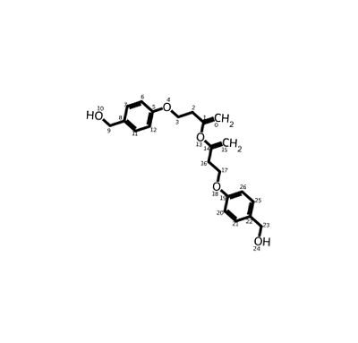 C=C(CCOc1ccc(CO)cc1)OC(=C)CCOc1ccc(CO)cc1